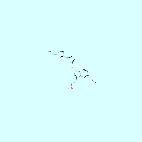 CCCn1cc(-c2ccc(S(=O)(=O)n3cc(CCC(=O)O)c4cc(OCC)ccc43)s2)cn1